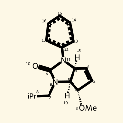 CO[C@H]1C=C[C@H]2[C@@H]1N(CC(C)C)C(=O)N2c1ccccc1